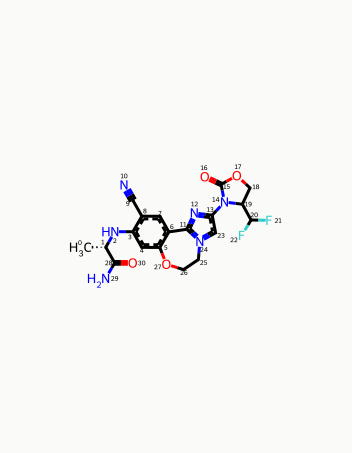 C[C@H](Nc1cc2c(cc1C#N)-c1nc(N3C(=O)OCC3C(F)F)cn1CCO2)C(N)=O